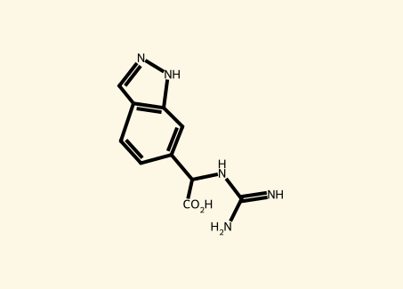 N=C(N)NC(C(=O)O)c1ccc2cn[nH]c2c1